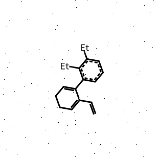 C=CC1=C[CH]CC=C1c1cccc(CC)c1CC